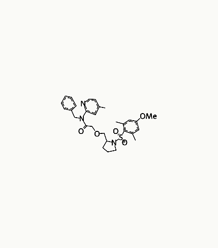 COc1cc(C)c(S(=O)(=O)N2CCCC2COCC(=O)N(Cc2ccccc2)c2cc(C)ccn2)c(C)c1